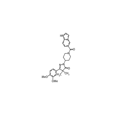 COc1ccc(C2=NN(C3CCN(C(=O)c4ccc5[nH]ccc5c4)CC3)C(=O)C2(C)C)cc1OC